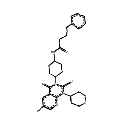 O=C(CCCc1ccccc1)NC1CCC(n2c(=O)c3cc(F)cnc3n(C3CCSCC3)c2=O)CC1